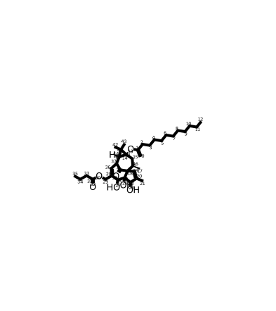 C=C(CCCCCCCCCCC)O[C@@]12C[C@@H](C)C34C=C(C)C(O)C3(O)C(O)C(COC(=O)CCC)=CC(C4=O)[C@@H]1C2(C)C